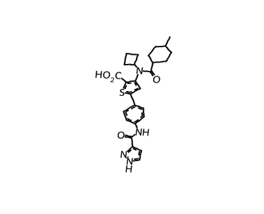 CC1CCC(C(=O)N(c2cc(-c3ccc(NC(=O)c4cc[nH]n4)cc3)sc2C(=O)O)C2CCC2)CC1